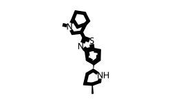 C[C@H]1CC[C@H](c2ccc3sc(C4CN(C)C5CCCC4C5)nc3c2)NC1